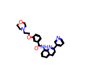 O=C(Nc1cccc2ccc(-c3cccnc3)nc12)c1cccc(OCCN2CCOCC2)c1